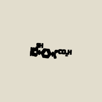 CN(CC(=O)O)c1ccc(-n2cnnc2S)cc1